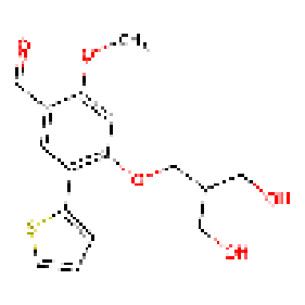 COc1cc(OCC(CO)CO)c(-c2cccs2)cc1C=O